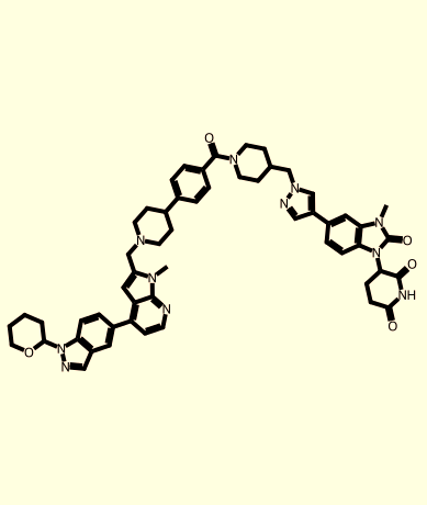 Cn1c(CN2CCC(c3ccc(C(=O)N4CCC(Cn5cc(-c6ccc7c(c6)n(C)c(=O)n7C6CCC(=O)NC6=O)cn5)CC4)cc3)CC2)cc2c(-c3ccc4c(cnn4C4CCCCO4)c3)ccnc21